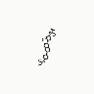 C=CC(=O)Sc1ccc(-c2ccc3cc(-c4ccc(SC(=O)C(=C)C)cc4F)ccc3c2)cc1